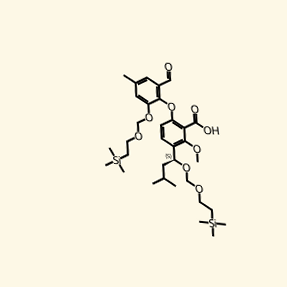 COc1c([C@H](CC(C)C)OCOCC[Si](C)(C)C)ccc(Oc2c(C=O)cc(C)cc2OCOCC[Si](C)(C)C)c1C(=O)O